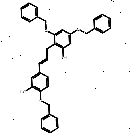 Oc1cc(/C=C/Cc2c(O)cc(OCc3ccccc3)cc2OCc2ccccc2)ccc1OCc1ccccc1